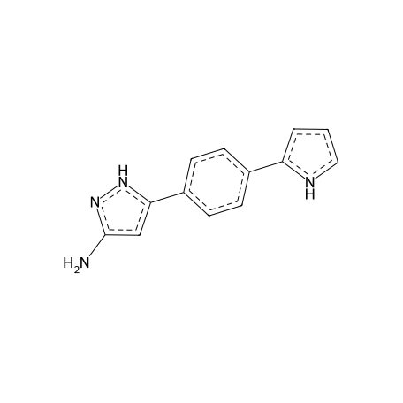 Nc1cc(-c2ccc(-c3ccc[nH]3)cc2)[nH]n1